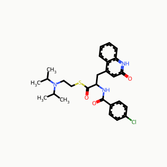 CC(C)N(CCSC(=O)C(Cc1cc(=O)[nH]c2ccccc12)NC(=O)c1ccc(Cl)cc1)C(C)C